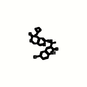 C[C@H](Nc1cc2c(cn1)COC(=O)N2C1CCC1)c1cc2cc(Cl)ccc2[nH]c1=O